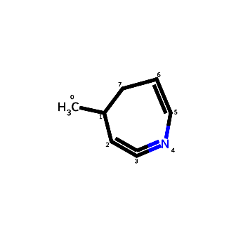 CC1C=C=NC=CC1